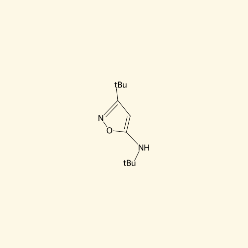 CC(C)(C)Nc1cc(C(C)(C)C)no1